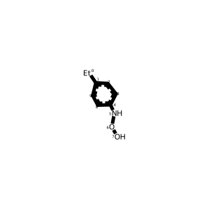 CCc1ccc(NOO)cc1